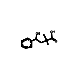 CC(C)(CC(O)c1ccccc1)C(=O)O